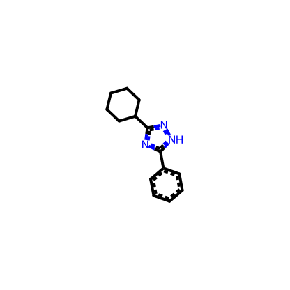 c1ccc(-c2nc(C3CCCCC3)n[nH]2)cc1